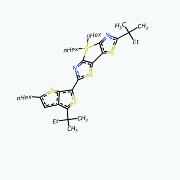 CCCCCCc1cc2c(C(C)(C)CC)sc(-c3nc4c(s3)-c3sc(C(C)(C)CC)nc3S4(CCCCCC)CCCCCC)c2s1